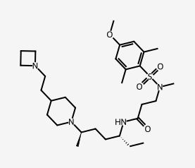 CC[C@H](CC[C@@H](C)N1CCC(CCN2CCC2)CC1)NC(=O)CCN(C)S(=O)(=O)c1c(C)cc(OC)cc1C